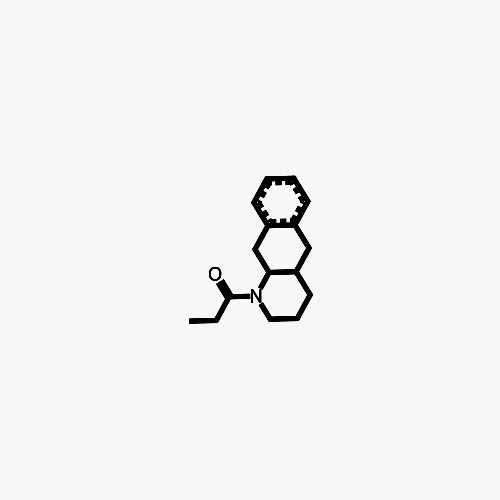 CCC(=O)N1CCCC2Cc3ccccc3CC21